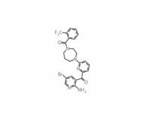 Nc1ncc(Br)cc1C(=O)c1cccc(N2CCCN(C(=O)c3ccccc3C(F)(F)F)CC2)n1